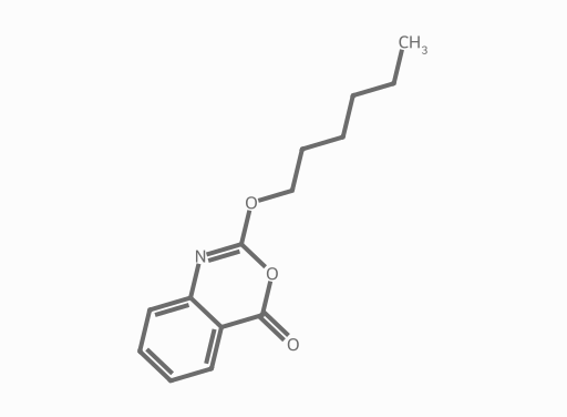 CCCCCCOc1nc2ccccc2c(=O)o1